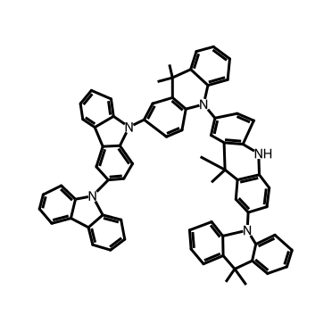 CC1(C)c2cc(N3c4ccccc4C(C)(C)c4ccccc43)ccc2Nc2ccc(N3c4ccccc4C(C)(C)c4cc(-n5c6ccccc6c6cc(-n7c8ccccc8c8ccccc87)ccc65)ccc43)cc21